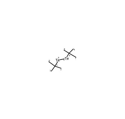 CC(C)(C)[Te][Te]C(C)(C)C